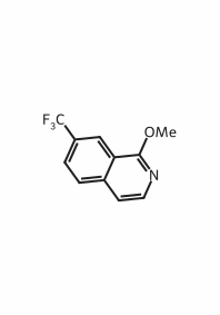 COc1nccc2ccc(C(F)(F)F)cc12